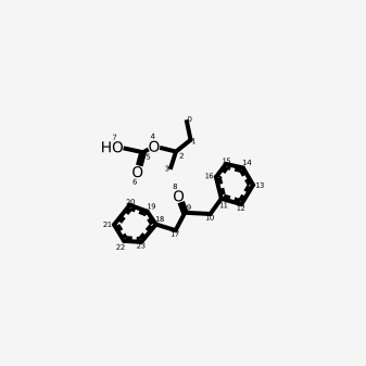 CCC(C)OC(=O)O.O=C(Cc1ccccc1)Cc1ccccc1